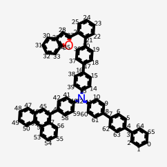 c1ccc(-c2ccc(-c3ccc(N(c4ccc(-c5ccc(-c6ccccc6-c6cc7ccccc7o6)cc5)cc4)c4ccc(-c5cc6ccccc6c6ccccc56)cc4)cc3)cc2)cc1